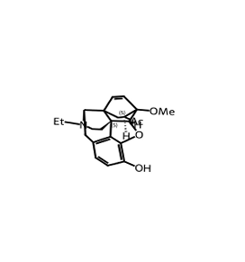 CCN1CC[C@]23c4c5ccc(O)c4O[C@H]2C2(OC)C=CC3(C[C@@H]2C(C)=O)C1C5